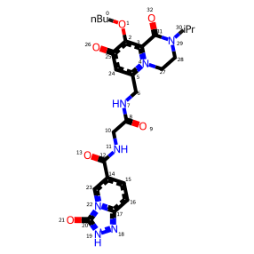 CCCCOc1c2n(c(CNC(=O)CNC(=O)c3ccc4n[nH]c(=O)n4c3)cc1=O)CCN(C(C)C)C2=O